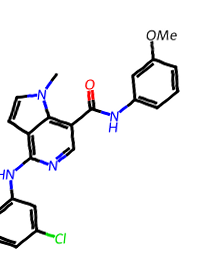 COc1cccc(NC(=O)c2cnc(Nc3cccc(Cl)c3)c3ccn(C)c23)c1